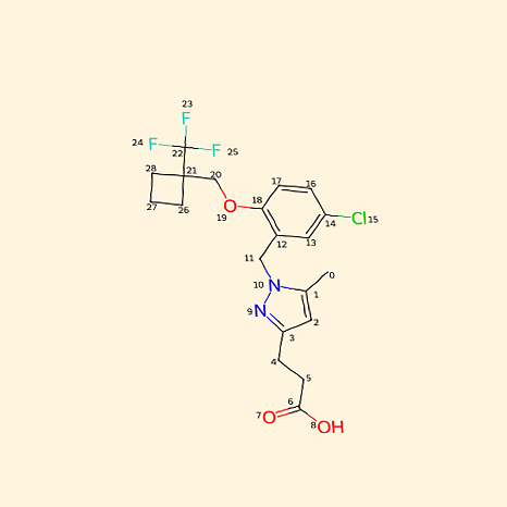 Cc1cc(CCC(=O)O)nn1Cc1cc(Cl)ccc1OCC1(C(F)(F)F)CCC1